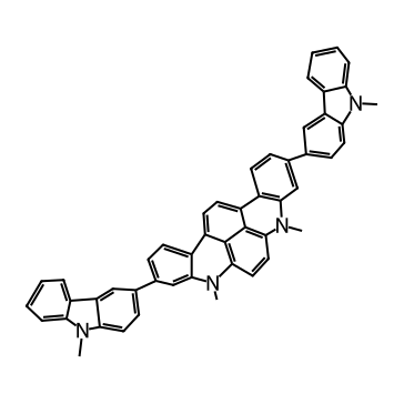 CN1c2cc(-c3ccc4c(c3)c3ccccc3n4C)ccc2-c2ccc3c4c(ccc1c24)N(C)c1cc(-c2ccc4c(c2)c2ccccc2n4C)ccc1-3